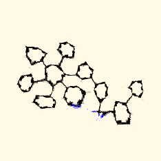 NC1(c2cccc(-c3cccc(-c4c(-c5ccccc5)c(-c5ccccc5)c(-c5ccccc5)c(-c5ccccc5)c4-c4ccccc4)c3)c2)N=C1c1cccc(-c2ccccc2)c1